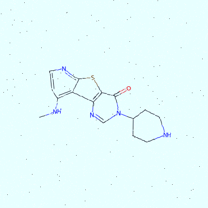 CNc1ccnc2sc3c(=O)n(C4CCNCC4)cnc3c12